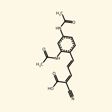 CC(=O)Nc1ccc(C=CC=C(C#N)C(=O)O)c(NC(C)=O)c1